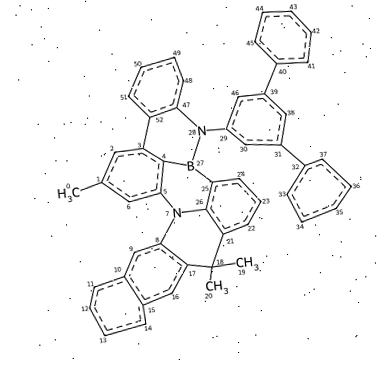 Cc1cc2c3c(c1)N1c4cc5ccccc5cc4C(C)(C)c4cccc(c41)B3N(c1cc(-c3ccccc3)cc(-c3ccccc3)c1)c1ccccc1-2